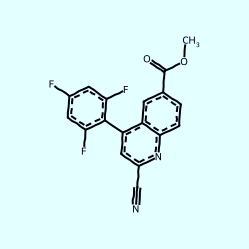 COC(=O)c1ccc2nc(C#N)cc(-c3c(F)cc(F)cc3F)c2c1